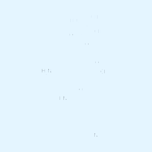 COc1cc(C(CN)C(=O)Nc2ccc3cnccc3c2)ccc1OC(=O)C(C)(C)C